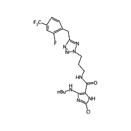 CCCCNc1nc(Cl)[nH]c1C(=O)NCCCn1nnc(Cc2ccc(C(F)(F)F)cc2F)n1